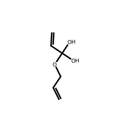 C=CCOC(O)(O)C=C